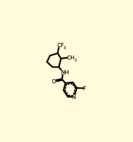 CC1C(NC(=O)c2ccnc(F)c2)CCCC1C(F)(F)F